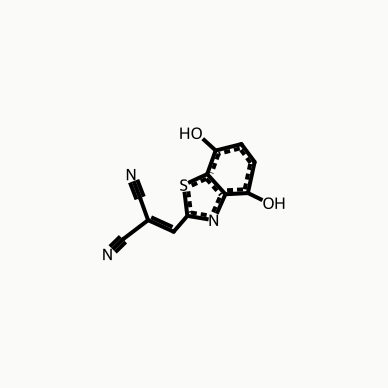 N#CC(C#N)=Cc1nc2c(O)ccc(O)c2s1